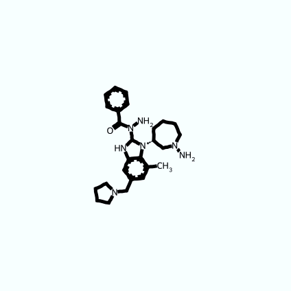 Cc1cc(CN2CCCC2)cc2c1N([C@@H]1CCCCN(N)C1)C(N(N)C(=O)c1ccccc1)N2